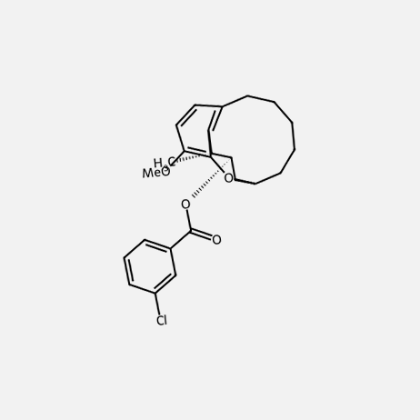 COc1ccc2c3c1OC(CCCCC2)C[C@@H](OC(=O)c1cccc(Cl)c1)[C@@H]3C